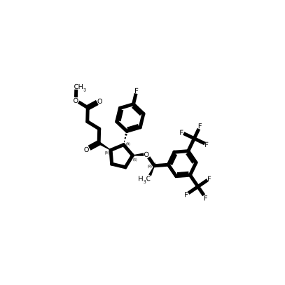 COC(=O)CCC(=O)[C@@H]1CC[C@H](O[C@H](C)c2cc(C(F)(F)F)cc(C(F)(F)F)c2)[C@H]1c1ccc(F)cc1